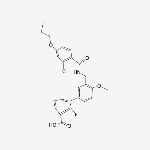 CCCOc1ccc(C(=O)NCc2cc(-c3cccc(C(=O)O)c3F)ccc2OC)c(Cl)c1